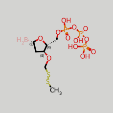 B[C@H]1C[C@H](OCSSC)[C@@H](COP(=O)(O)OP(=O)(O)OP(=O)(O)O)O1